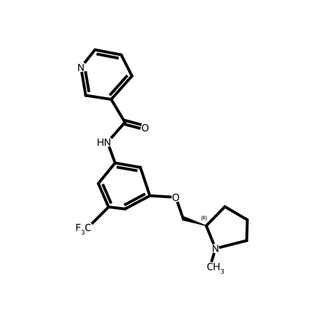 CN1CCC[C@@H]1COc1cc(NC(=O)c2cccnc2)cc(C(F)(F)F)c1